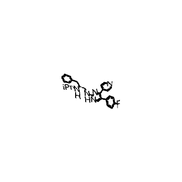 CC(C)N[C@H](CNc1ncc(-c2ccc(F)cc2)c(-c2ccncc2)n1)Cc1ccccc1